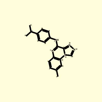 Cc1ccc2nc(Nc3ccc(C(C)C)cc3)c3nncn3c2c1